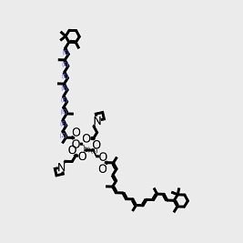 CC(C=CC=C(C)C=CC1=C(C)CCCC1(C)C)=CC=CC=C(C)C=CC=C(C)C(=O)OC[C@H](OC(=O)CCN1CCC1)[C@@H](COC(=O)\C(C)=C/C=C/C(C)=C/C=C/C=C(C)/C=C/C=C(C)/C=C/C1=C(C)CCCC1(C)C)OC(=O)CCN1CCC1